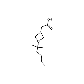 CCCCC(C)(C)N1CC(CC(=O)O)C1